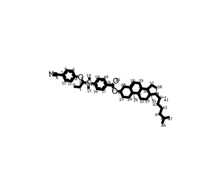 CCC(Oc1ccc(C#N)cc1)[Si](C)(C)c1ccc(C(=O)OC2CC[C@@]3(C)C(=CCC4C3CC[C@@]3(C)C4CC[C@@H]3[C@H](C)CCCC(C)C)C2)cc1